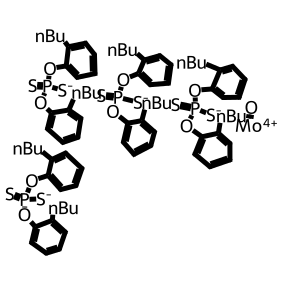 CCCCc1ccccc1OP(=S)([S-])Oc1ccccc1CCCC.CCCCc1ccccc1OP(=S)([S-])Oc1ccccc1CCCC.CCCCc1ccccc1OP(=S)([S-])Oc1ccccc1CCCC.CCCCc1ccccc1OP(=S)([S-])Oc1ccccc1CCCC.[O]=[Mo+4]